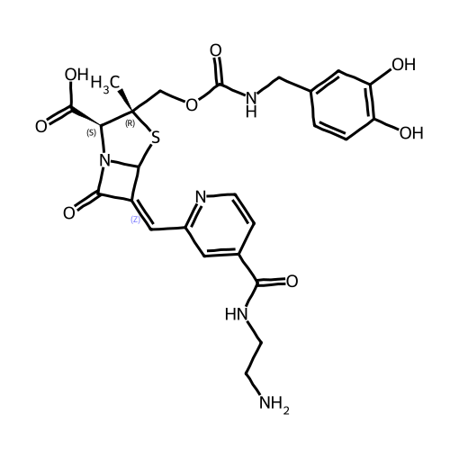 C[C@@]1(COC(=O)NCc2ccc(O)c(O)c2)SC2/C(=C\c3cc(C(=O)NCCN)ccn3)C(=O)N2[C@H]1C(=O)O